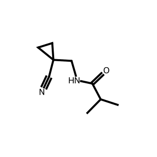 CC(C)C(=O)NCC1(C#N)CC1